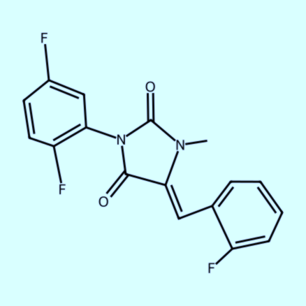 CN1C(=O)N(c2cc(F)ccc2F)C(=O)/C1=C/c1ccccc1F